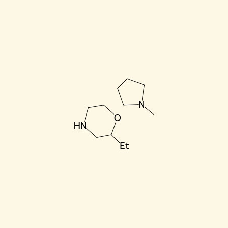 CCC1CNCCO1.CN1CCCC1